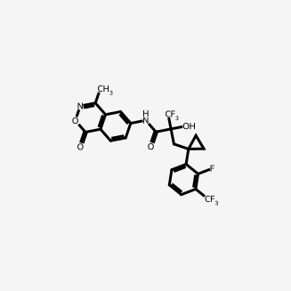 Cc1noc(=O)c2ccc(NC(=O)C(O)(CC3(c4cccc(C(F)(F)F)c4F)CC3)C(F)(F)F)cc12